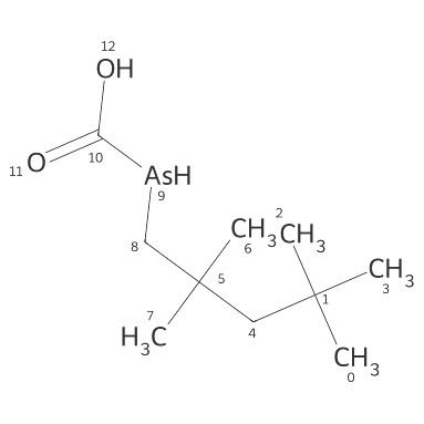 CC(C)(C)CC(C)(C)C[AsH]C(=O)O